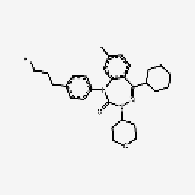 Cc1ccc2c(c1)N(c1ccc(CCCBr)cc1)C(=O)N(C1CCOCC1)N=C2C1CCCCC1